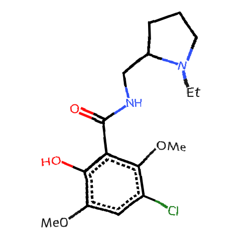 CCN1CCCC1CNC(=O)c1c(O)c(OC)cc(Cl)c1OC